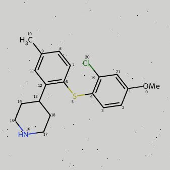 COc1ccc(Sc2ccc(C)cc2C2CCNCC2)c(Cl)c1